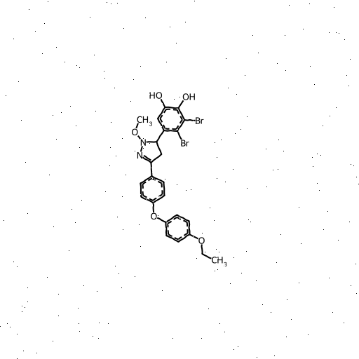 CCOc1ccc(Oc2ccc(C3=NN(OC)C(c4cc(O)c(O)c(Br)c4Br)C3)cc2)cc1